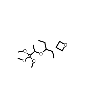 C1COC1.CCC(CC)OC(C)[Si](OC)(OC)OC